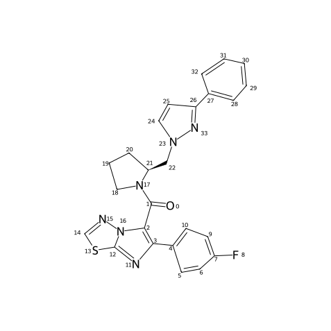 O=C(c1c(-c2ccc(F)cc2)nc2scnn12)N1CCC[C@H]1Cn1ccc(-c2ccccc2)n1